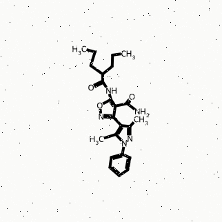 CCCC(CCC)C(=O)Nc1onc(-c2c(C)nn(-c3ccccc3)c2C)c1C(N)=O